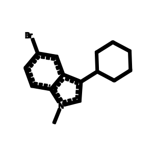 Cn1cc(C2CCCCC2)c2cc(Br)ccc21